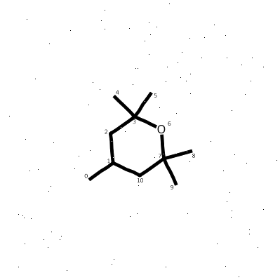 CC1CC(C)(C)OC(C)(C)C1